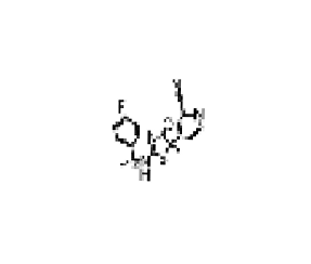 C[C@H](NC1=NC(=O)C(C)(c2ccnc(C#N)c2)S1)c1ccc(F)cc1